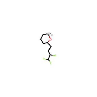 FC(F)C(F)CCC1CCC[SiH2]O1